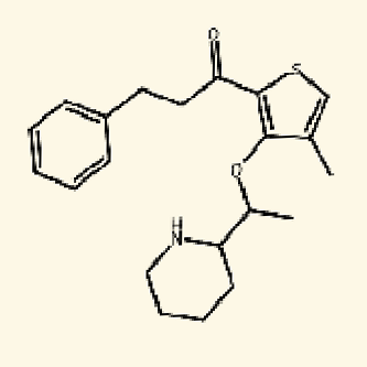 Cc1csc(C(=O)CCc2ccccc2)c1OC(C)C1CCCCN1